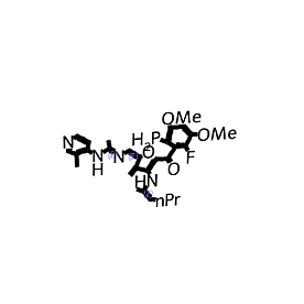 C=c1c(N/C(C)=C\CCC)c(C(=O)c2c(F)c(OC)cc(OC)c2P)o/c1=C/N=C(\C)Nc1ccncc1C